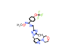 CO/N=C(\N=C\c1nc(C)n(Cc2ccnc(N3CCOCC3)c2)n1)c1ccc(OC(F)(F)F)cc1